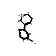 Fc1cccc(C2=CCCNC2)c1